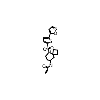 C=CC(=O)NC1CCN(S(=O)(=O)c2ccc(-c3ccno3)s2)C2(CCC2)C1